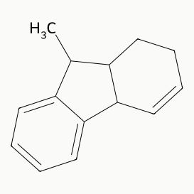 CC1c2ccccc2C2C=CCCC12